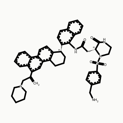 C=C(CN1CCCCC1)c1cc2c3c(ccc2c2ccccc12)[C@H](c1ccc2ccccc2c1NC(=O)C[C@@H]1C(=O)NCCN1S(=O)(=O)c1ccc(CN)cc1)CCC3